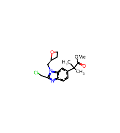 COC(=O)C(C)(C)c1ccc2nc(CCl)n(C[C@@H]3CCO3)c2c1